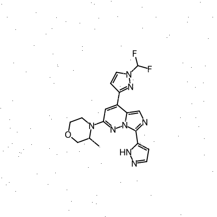 CC1COCCN1c1cc(-c2ccn(C(F)F)n2)c2cnc(-c3ccn[nH]3)n2n1